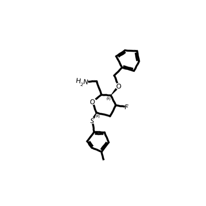 Cc1ccc(S[C@@H]2CC(F)[C@H](OCc3ccccc3)C(CN)O2)cc1